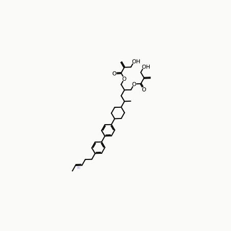 C=C(CO)C(=O)OCC(COC(=O)C(=C)CO)CC(C)C1CCC(c2ccc(-c3ccc(CC/C=C/C)cc3)cc2)CC1